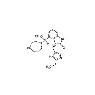 CCc1ncc(/C=C2\C(=O)Nc3cccc(S(=O)(=O)N4CCCNCC4C)c32)[nH]1